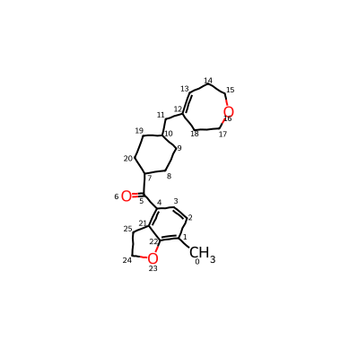 Cc1ccc(C(=O)C2CCC(CC3=CCCOCC3)CC2)c2c1OCC2